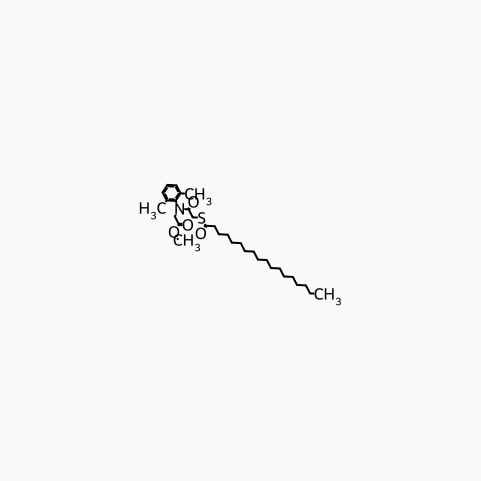 CCCCCCCCCCCCCCCCCC(=O)SCC(=O)N(CC(=O)OC)c1c(C)cccc1C